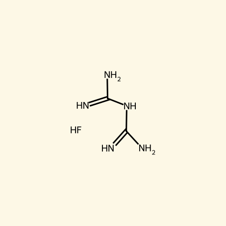 F.N=C(N)NC(=N)N